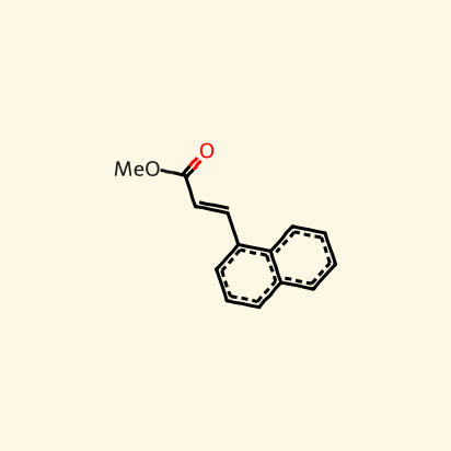 COC(=O)C=Cc1cccc2ccccc12